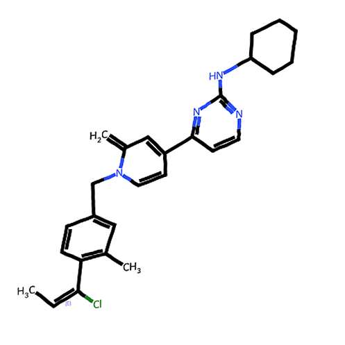 C=C1C=C(c2ccnc(NC3CCCCC3)n2)C=CN1Cc1ccc(/C(Cl)=C\C)c(C)c1